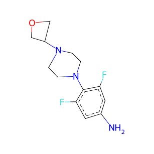 Nc1cc(F)c(N2CCN(C3COC3)CC2)c(F)c1